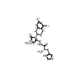 Cl.N[C@@H](Cc1cnc[nH]1)C(=O)NCc1c[nH]c(=S)n1C1CCc2c(F)cc(F)cc2C1